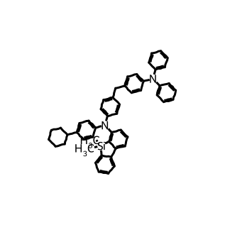 C[Si]1(C)c2ccccc2-c2cccc(N(c3ccc(Cc4ccc(N(c5ccccc5)c5ccccc5)cc4)cc3)c3ccc(C4CCCCC4)cc3)c21